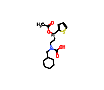 CC(=O)O[C@@H](CCN(CC1CCCCC1)C(=O)O)c1cccs1